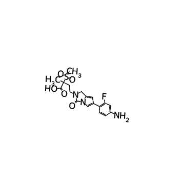 CC(CCN1Cc2cc(-c3ccc(N)cc3F)cn2C1=O)(C(=O)O)S(C)(=O)=O